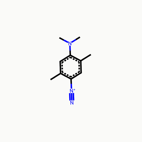 Cc1cc(N(C)C)c(C)cc1[N+]#N